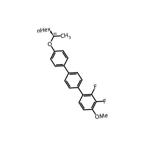 CCCCCC[C@@H](C)Oc1ccc(-c2ccc(-c3ccc(OC)c(F)c3F)cc2)cc1